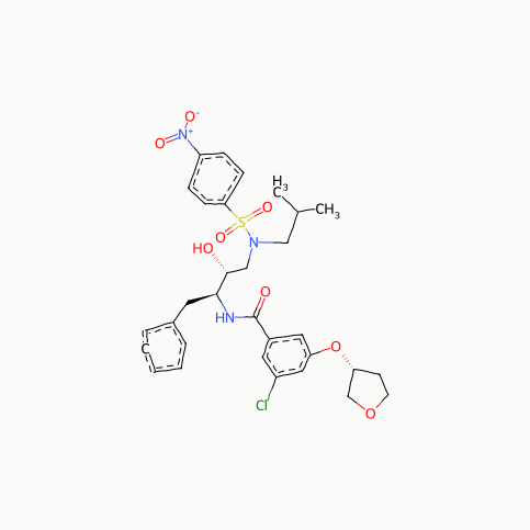 CC(C)CN(C[C@@H](O)[C@H](Cc1ccccc1)NC(=O)c1cc(Cl)cc(O[C@@H]2CCOC2)c1)S(=O)(=O)c1ccc([N+](=O)[O-])cc1